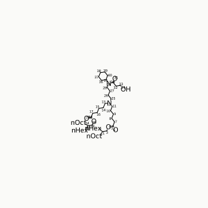 CCCCCCCCC(CCCCCC)COC(=O)CCCCCN(CCCCCC(=O)OCC(CCCCCC)CCCCCCCC)CCCCN(C(=O)CCO)C1CCCCC1